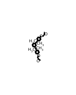 CC(C)(c1ccc(OCC2CO2)cc1)c1cccc(C(C)(C)c2ccc(OCC3CO3)cc2)c1